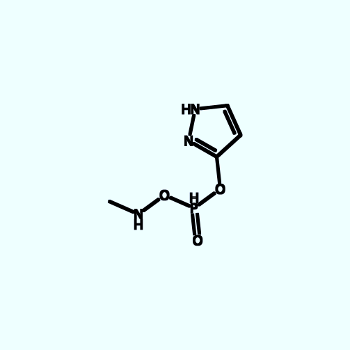 CNO[PH](=O)Oc1cc[nH]n1